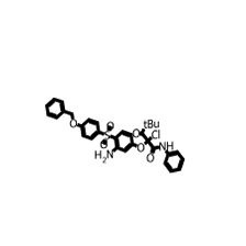 CC(C)(C)C(=O)C(Cl)(Oc1ccc(S(=O)(=O)c2ccc(OCc3ccccc3)cc2)c(N)c1)C(=O)Nc1ccccc1